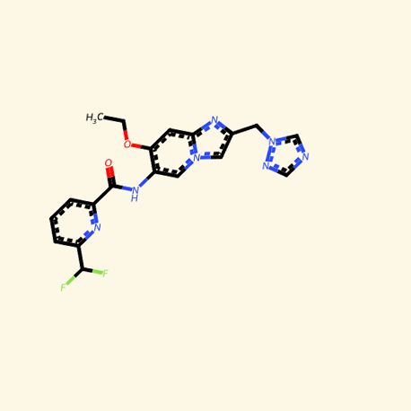 CCOc1cc2nc(Cn3cncn3)cn2cc1NC(=O)c1cccc(C(F)F)n1